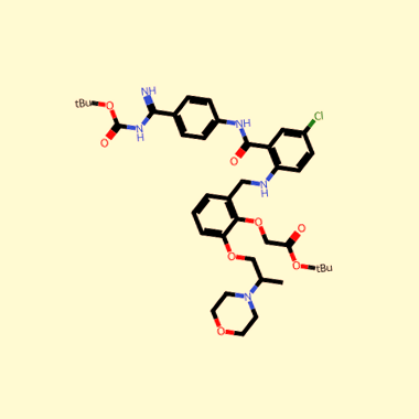 CC(COc1cccc(CNc2ccc(Cl)cc2C(=O)Nc2ccc(C(=N)NC(=O)OC(C)(C)C)cc2)c1OCC(=O)OC(C)(C)C)N1CCOCC1